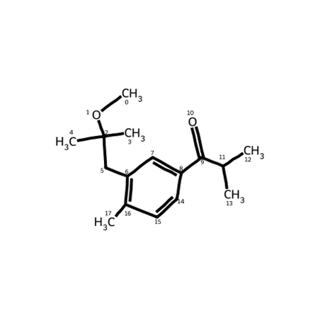 COC(C)(C)Cc1cc(C(=O)C(C)C)ccc1C